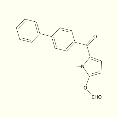 Cn1c(OC=O)ccc1C(=O)c1ccc(-c2ccccc2)cc1